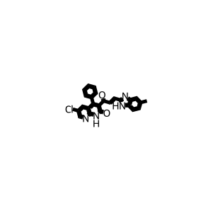 Cc1ccc2[nH]c(C=CC(=O)c3c(-c4ccccc4)c4cc(Cl)cnc4[nH]c3=O)nc2c1